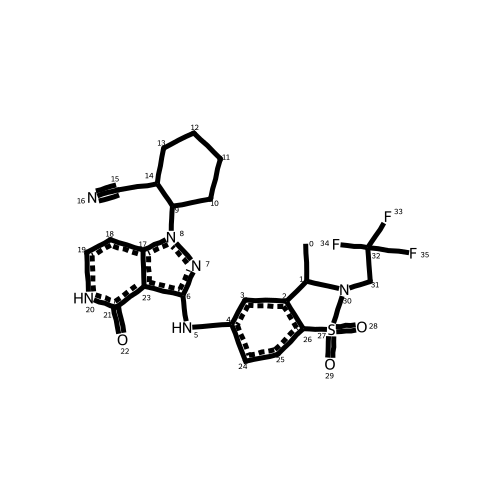 CC1c2cc(Nc3nn(C4CCCCC4C#N)c4cc[nH]c(=O)c34)ccc2S(=O)(=O)N1CC(F)(F)F